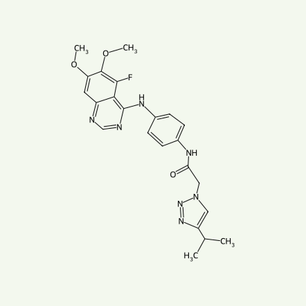 COc1cc2ncnc(Nc3ccc(NC(=O)Cn4cc(C(C)C)nn4)cc3)c2c(F)c1OC